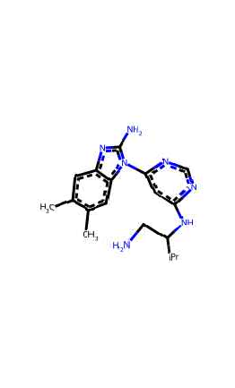 Cc1cc2nc(N)n(-c3cc(NC(CN)C(C)C)ncn3)c2cc1C